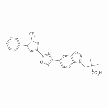 CC(C)(Cn1ccc2cc(-c3noc(C4=CC(c5ccccc5)C(C(F)(F)F)S4)n3)ccc21)C(=O)O